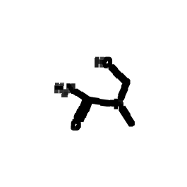 CN(CO)C(N)=O